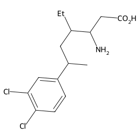 CCC(CC(C)c1ccc(Cl)c(Cl)c1)C(N)CC(=O)O